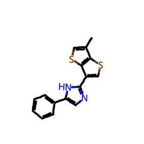 Cc1csc2c(-c3ncc(-c4ccccc4)[nH]3)csc12